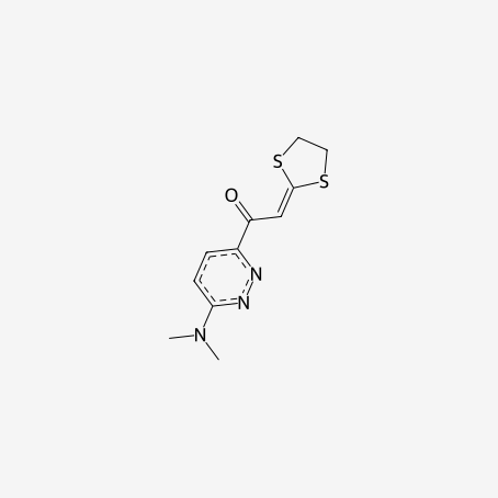 CN(C)c1ccc(C(=O)C=C2SCCS2)nn1